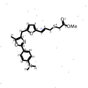 COC(=O)CSC/C=C/c1ccc(Cc2nc(-c3ccc(N(C)C)cc3)oc2C)o1